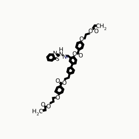 C=CC(=O)OCCCOc1ccc(C(=O)OCCc2ccc(-c3ccc(OC(=O)c4ccc(OCCCOC(=O)C=C)cc4)c(/C=N/Nc4nc5ccccc5s4)c3)cc2)cc1